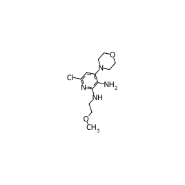 COCCNc1nc(Cl)cc(N2CCOCC2)c1N